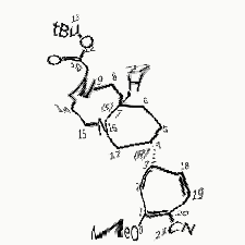 COc1cc([C@H]2CC[C@H]3CN(C(=O)OC(C)(C)C)CCN3C2)ccc1C#N